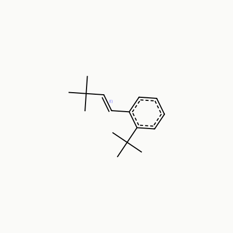 CC(C)(C)/C=C/c1ccccc1C(C)(C)C